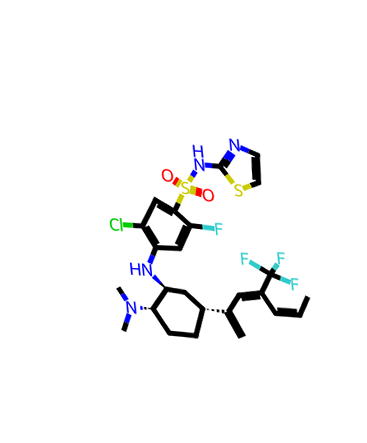 C=C(/C=C(\C=C/C)C(F)(F)F)[C@@H]1CC[C@H](N(C)C)[C@@H](Nc2cc(F)c(S(=O)(=O)Nc3nccs3)cc2Cl)C1